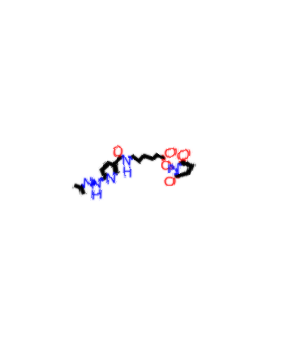 CC(C)=NNc1ccc(C(=O)NCCCCCC(=O)ON2C(=O)CCC2=O)cn1